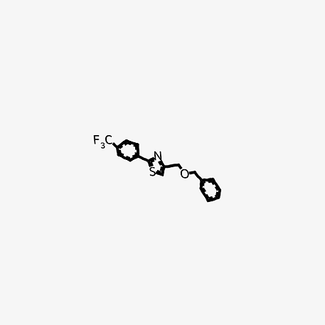 FC(F)(F)c1ccc(-c2nc(COCc3ccccc3)cs2)cc1